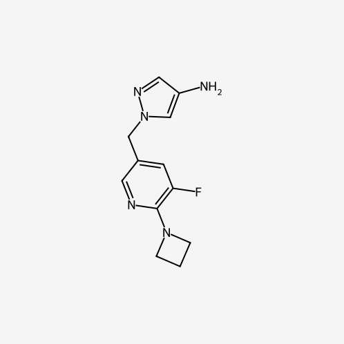 Nc1cnn(Cc2cnc(N3CCC3)c(F)c2)c1